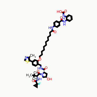 Cc1ncsc1-c1ccc(CNC(=O)[C@@H]2C[C@@H](O)CN2C(=O)[C@@H](NC(=O)C2(F)CC2)C(C)(C)C)c(OCCCCCCCCCCCC(=O)Nc2ccc(C(=O)Nc3ccccc3NC(=O)O)cc2)c1